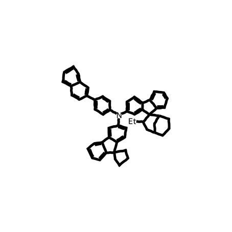 CCC1CC2CCCC(C2)C12c1ccccc1-c1ccc(N(c3ccc(-c4ccc5ccccc5c4)cc3)c3ccc4c(c3)-c3ccccc3C43CCCC3)cc12